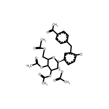 CC(=O)OCC1O[C@@H](c2ccc(Cl)c(Cc3ccc(C(C)=O)cc3)c2)[C@H](OC(C)=O)C(OC(C)=O)C1OC(C)=O